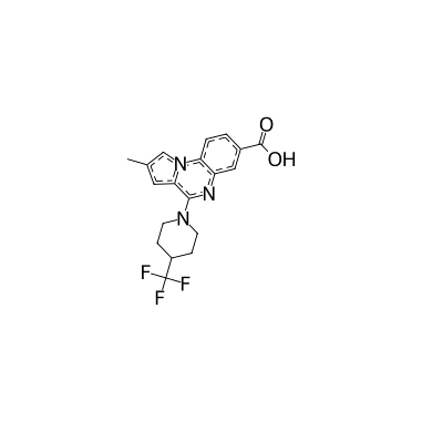 Cc1cc2c(N3CCC(C(F)(F)F)CC3)nc3cc(C(=O)O)ccc3n2c1